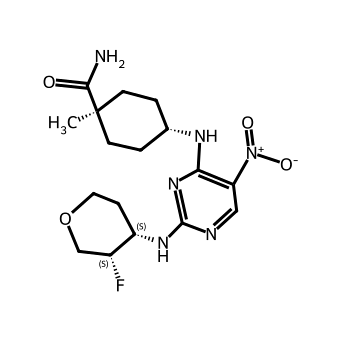 C[C@]1(C(N)=O)CC[C@H](Nc2nc(N[C@H]3CCOC[C@H]3F)ncc2[N+](=O)[O-])CC1